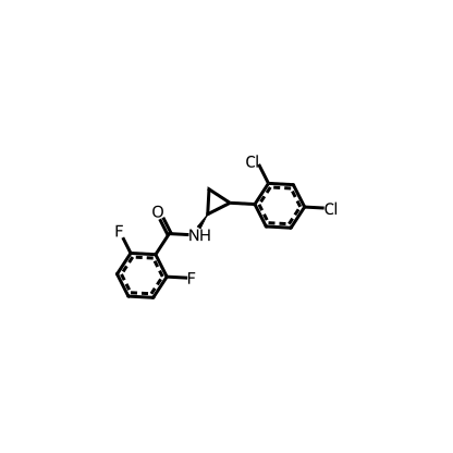 O=C(N[C@H]1CC1c1ccc(Cl)cc1Cl)c1c(F)cccc1F